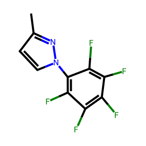 Cc1ccn(-c2c(F)c(F)c(F)c(F)c2F)n1